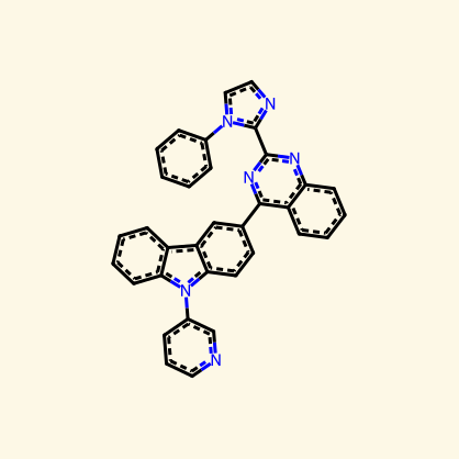 c1ccc(-n2ccnc2-c2nc(-c3ccc4c(c3)c3ccccc3n4-c3cccnc3)c3ccccc3n2)cc1